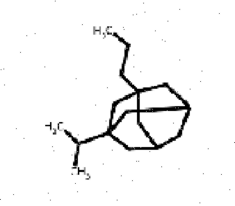 CCCC12CC3CC(C1)CC(C(C)C)(C3)C2